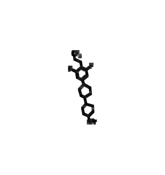 CCCC1CCC(C2CCC(c3cc(F)c(CCC(F)(F)F)c(F)c3)CC2)CC1